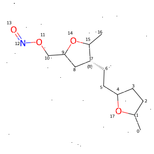 CC1CCC(CC[C@@H]2CC(CON=O)OC2C)O1